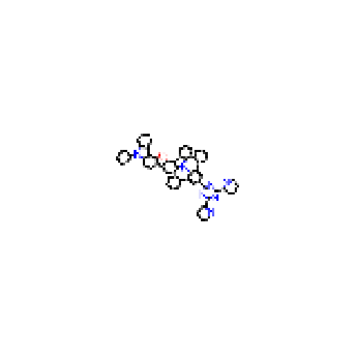 c1ccc(-c2cc(-c3nc(-c4ccccn4)nc(-c4ccccn4)n3)cc(-c3ccccc3)c2-n2c3ccccc3c3c4oc5c(ccc6c5c5ccccc5n6-c5ccccc5)c4ccc32)cc1